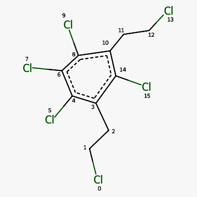 ClCCc1c(Cl)c(Cl)c(Cl)c(CCCl)c1Cl